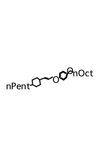 CCCCCCCCOc1ccc(OCC=CC2CCC(CCCCC)CC2)cc1